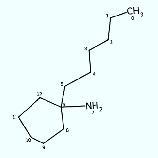 CCCCCCC1(N)CCCCC1